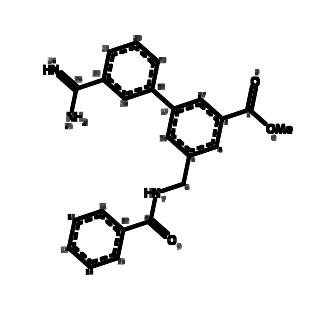 COC(=O)c1cc(CNC(=O)c2ccccc2)cc(-c2cccc(C(=N)N)c2)c1